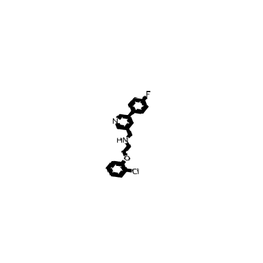 Fc1ccc(-c2cncc(CNCCOc3ccccc3Cl)c2)cc1